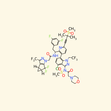 CC(C)(C#Cc1ccc(-c2ccc(Cl)c3c(N(C(=O)CN4CCOCC4)S(C)(=O)=O)nn(CC(F)(F)F)c23)c(C(Cc2cc(F)cc(F)c2)NC(=O)Cn2nc(C(F)(F)F)c3c2C(F)(F)[C@@H]2C[C@H]32)n1)S(C)(=O)=O